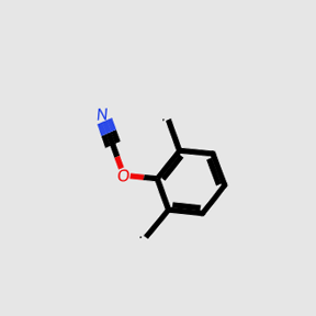 [CH2]c1cccc([CH2])c1OC#N